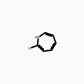 [O]C1=CC=CC=CN1